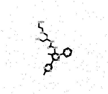 COCCNC[C@H](CO)NC(=O)Nc1c(C)c(-c2cnc(C)nc2)nn1-c1ccccc1